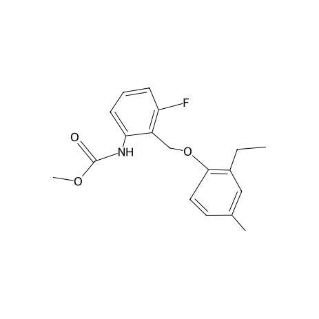 CCc1cc(C)ccc1OCc1c(F)cccc1NC(=O)OC